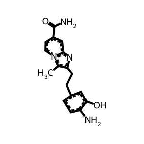 Cc1c(CCc2ccc(N)c(O)c2)nc2cc(C(N)=O)ccn12